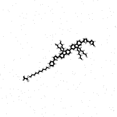 C=C(C)C(=O)OCCCCCCCCCCOc1ccc(-c2ccc(-c3ccc4c(c3)C(CCCCC)(CCCCC)c3cc(-c5ccc6c(c5)C(CCCCCC)(CCCCCC)c5cc(-c7ccc(-c8ccc(C)s8)s7)ccc5-6)ccc3-4)s2)cc1